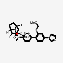 CCCCOC(=O)N1[C@@H]2CC[C@H]1[C@H](F)[C@H](N(C)c1ccc(-c3ccc(-n4ccnc4)cc3OCOC)nn1)C2